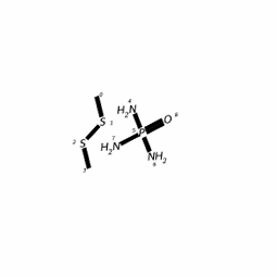 CSSC.NP(N)(N)=O